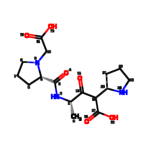 C[C@H](NC(=O)[C@@H]1CCCN1CC(=O)O)C(=O)C(C(=O)O)C1CCCN1